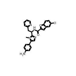 Cn1c(-c2ccc(N)cc2)cnc1C(Cc1ccccn1)NC(=O)c1cc2cc(Cl)ccc2o1